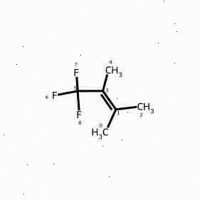 CC(C)=C(C)C(F)(F)F